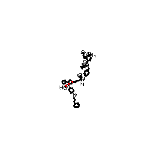 CN(CCCc1ccccc1)C1CCC(N(C(=O)O)c2cc(CCCC(=O)Nc3ccc(CNC[C@@H](O[Si](C)(C)C(C)(C)C)c4ccc(O)c5[nH]c(=O)ccc45)cc3)ccc2-c2ccccc2)CC1